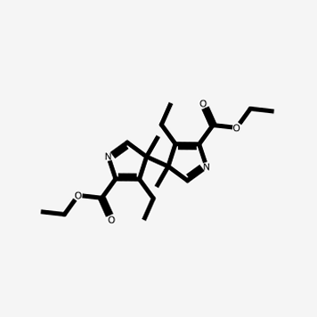 CCOC(=O)C1=C(CC)C(C)(C2(C)C=NC(C(=O)OCC)=C2CC)C=N1